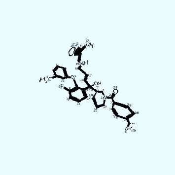 Cc1cccc(Oc2c(F)cccc2[C@](O)(CCCNC(=O)O)[C@@H]2CCCN(C(=O)c3ccc(CN)cc3)C2)c1